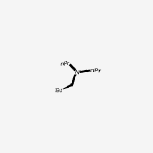 CCCN(CCC)C[C@H](C)CC